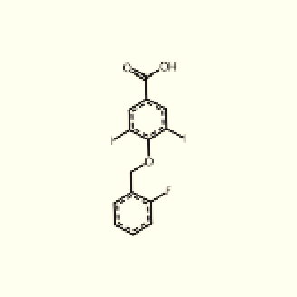 O=C(O)c1cc(I)c(OCc2ccccc2F)c(I)c1